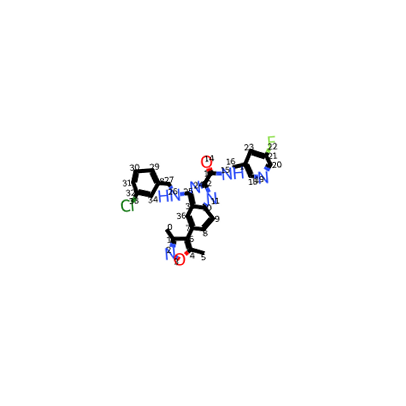 Cc1noc(C)c1-c1ccc2nc(C(=O)NCc3cncc(F)c3)nc(NCc3cccc(Cl)c3)c2c1